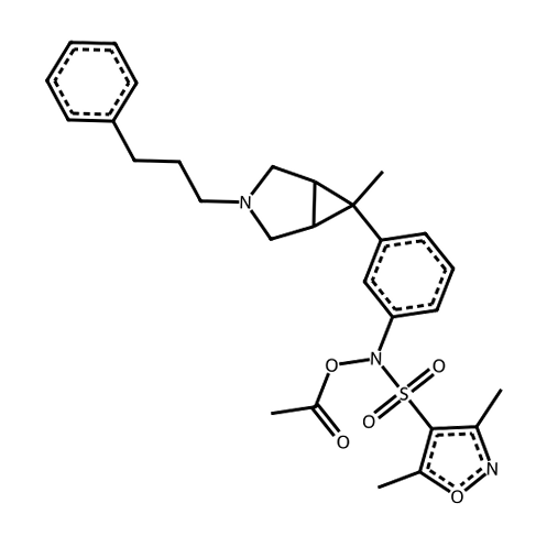 CC(=O)ON(c1cccc(C2(C)C3CN(CCCc4ccccc4)CC32)c1)S(=O)(=O)c1c(C)noc1C